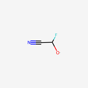 N#CC([O])F